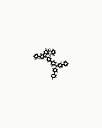 c1ccc(-c2ccc(N(c3ccc(-c4ccccc4)cc3)c3ccc(-c4ccc(-n5c6ccc(-c7ccccc7)cc6c6ccc7c(c65)Oc5ccccc5O7)cc4)cc3)cc2)cc1